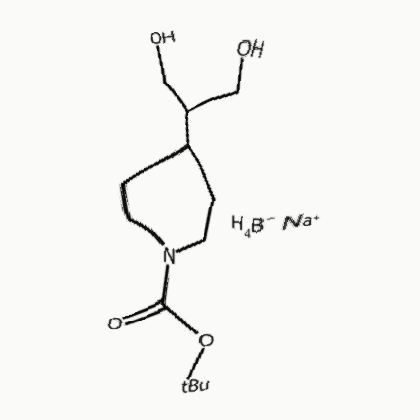 CC(C)(C)OC(=O)N1CCC(C(CO)CO)CC1.[BH4-].[Na+]